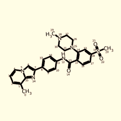 Cc1cccn2cc(-c3ccc(NC(=O)c4ccc(S(C)(=O)=O)cc4N4CCN(C)CC4)cc3)nc12